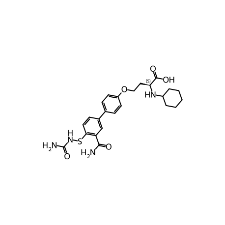 NC(=O)NSc1ccc(-c2ccc(OCC[C@H](NC3CCCCC3)C(=O)O)cc2)cc1C(N)=O